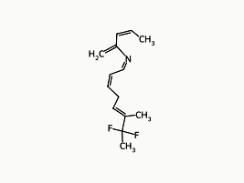 C=C(/C=C\C)/N=C\C=C/C/C=C(\C)C(C)(F)F